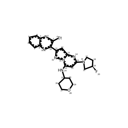 CCc1nc2ccccc2nc1-c1cc2nc(N3CC[C@@H](F)C3)cc(NC3CCOCC3)n2n1